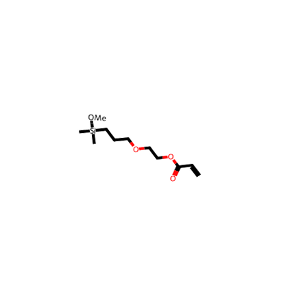 C=CC(=O)OCCOCCC[Si](C)(C)OC